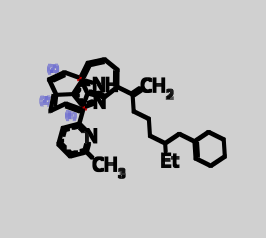 C=C(CCCC(CC)CC1=CCCCC1)C1=CC=C=C2\C=C/C(c3c[nH]nc3-c3cccc(C)n3)=C/C=C/C2=C1